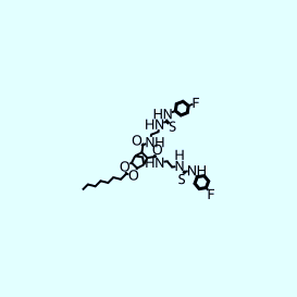 CCCCCCCC1OC2C3CC(C2O1)C(C(=O)NCCNC(=S)Nc1ccc(F)cc1)C3C(=O)NCCNC(=S)Nc1ccc(F)cc1